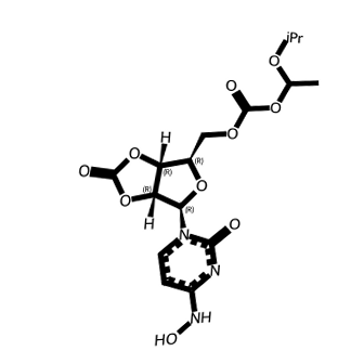 CC(C)OC(C)OC(=O)OC[C@H]1O[C@@H](n2ccc(NO)nc2=O)[C@@H]2OC(=O)O[C@@H]21